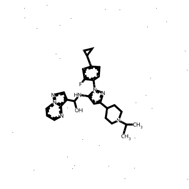 CC(C)N1CCC(c2cc(NC(O)c3cnn4cccnc34)n(-c3ccc(C4CC4)cc3F)n2)CC1